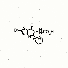 O=C(O)N[C@@H]1CCCC[C@H]1c1nc2cc(Br)sc2c(=O)[nH]1